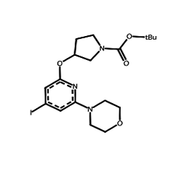 CC(C)(C)OC(=O)N1CCC(Oc2cc(I)cc(N3CCOCC3)n2)C1